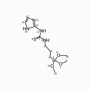 CO[Si](CCCNC(=S)Nc1ncc[nH]1)(OC)OC